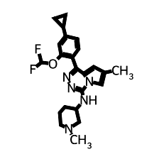 Cc1cc2c(-c3ccc(C4CC4)cc3OC(F)F)nnc(NC3CCCN(C)C3)n2c1